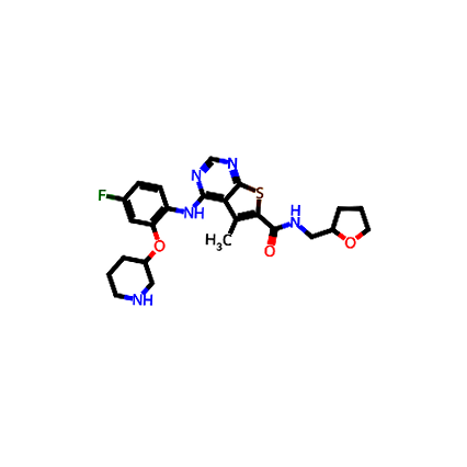 Cc1c(C(=O)NCC2CCCO2)sc2ncnc(Nc3ccc(F)cc3OC3CCCNC3)c12